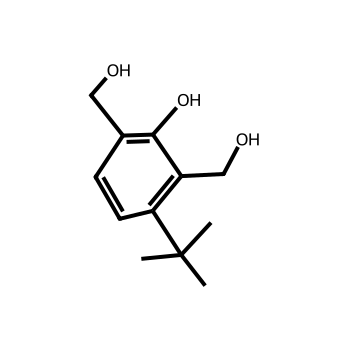 CC(C)(C)c1ccc(CO)c(O)c1CO